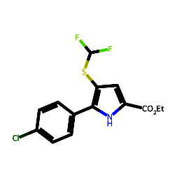 CCOC(=O)c1cc(SC(F)F)c(-c2ccc(Cl)cc2)[nH]1